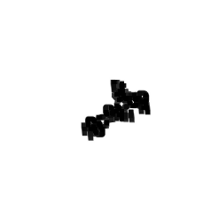 CCc1cc2cc(NC(=O)Cc3ccc4c(c3)OC(F)(F)O4)ccc2n1C[C@H](O)CO